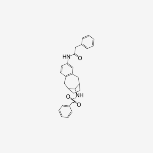 O=C(Cc1ccccc1)Nc1ccc2c(c1)CC1CCC(C2)C1NS(=O)(=O)c1ccccc1